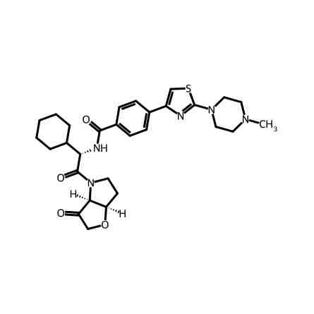 CN1CCN(c2nc(-c3ccc(C(=O)N[C@H](C(=O)N4CC[C@H]5OCC(=O)[C@H]54)C4CCCCC4)cc3)cs2)CC1